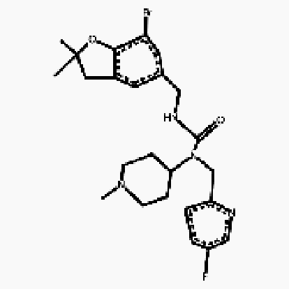 CN1CCC(N(Cc2ccc(F)cn2)C(=O)NCc2cc(Br)c3c(c2)CC(C)(C)O3)CC1